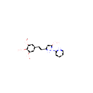 COc1cc(/C=C/c2cc(O)n(-c3ccccn3)n2)cc(OC)c1O